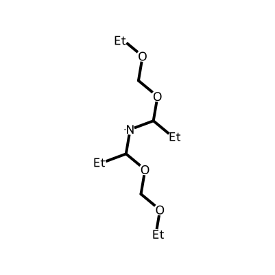 CCOCOC(CC)[N]C(CC)OCOCC